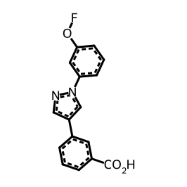 O=C(O)c1cccc(-c2cnn(-c3cccc(OF)c3)c2)c1